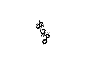 Cc1cnn2c(N3CCC4(CC3)O[C@@H]3CC[C@@H](c5ccccc5)N3C4=O)ccnc12